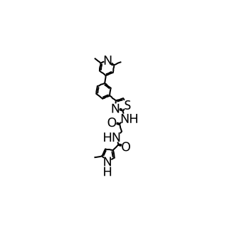 Cc1cc(-c2cccc(-c3csc(NC(=O)CNC(=O)c4c[nH]c(C)c4)n3)c2)cc(C)n1